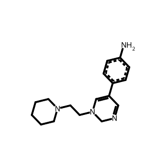 Nc1ccc(C2=CN(CCN3CCCCC3)CN=C2)cc1